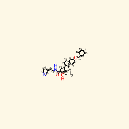 C[C@]12CCC3c4ccc(OCc5ccccc5)cc4CCC3C1CC(C(=O)NCCc1cccnc1)[C@@H]2O